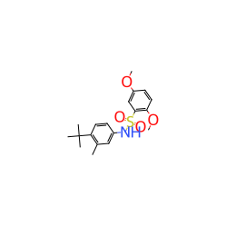 COc1ccc(OC)c(S(=O)(=O)Nc2ccc(C(C)(C)C)c(C)c2)c1